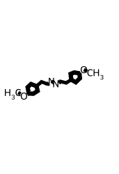 COc1ccc(C/C=N/N=C/Cc2ccc(OC)cc2)cc1